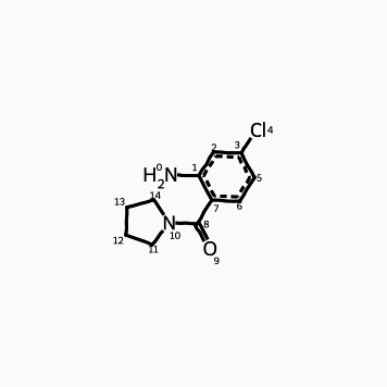 Nc1cc(Cl)ccc1C(=O)N1CCCC1